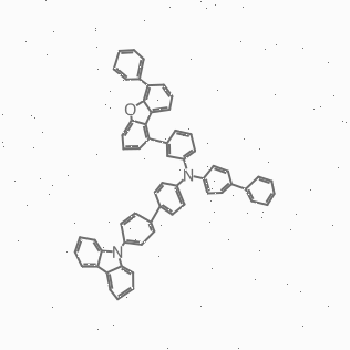 c1ccc(-c2ccc(N(c3ccc(-c4ccc(-n5c6ccccc6c6ccccc65)cc4)cc3)c3cccc(-c4cccc5oc6c(-c7ccccc7)cccc6c45)c3)cc2)cc1